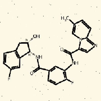 Cc1ccc2ncc(C(=O)Nc3cc(C(=O)N[C@@H]4c5cc(F)ccc5C[C@@H]4O)ccc3F)n2c1